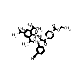 CCOC(=O)N1CCN(C(=O)[C@H](Cc2cccc(C#N)c2)NS(=O)(=O)c2c(C(C)C)cc(C(C)C)cc2C(C)C)CC1